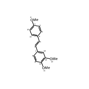 COc1ccc(/C=C/c2ccc(OC)c(OC)c2)cc1